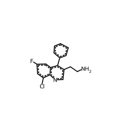 NCCc1cnc2c(Cl)cc(F)cc2c1-c1ccccc1